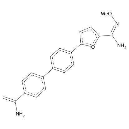 C=C(N)c1ccc(-c2ccc(-c3ccc(/C(N)=N\OC)o3)cc2)cc1